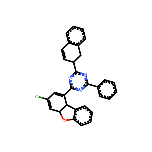 ClC1=CC2Oc3ccccc3C2C(c2nc(-c3ccccc3)nc(C3C=Cc4ccccc4C3)n2)=C1